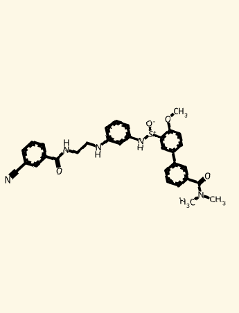 COc1ccc(-c2cccc(C(=O)N(C)C)c2)cc1[S+]([O-])Nc1cccc(NCCNC(=O)c2cccc(C#N)c2)c1